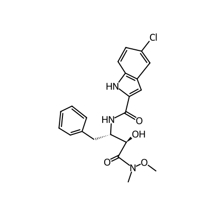 CON(C)C(=O)[C@H](O)[C@H](Cc1ccccc1)NC(=O)c1cc2cc(Cl)ccc2[nH]1